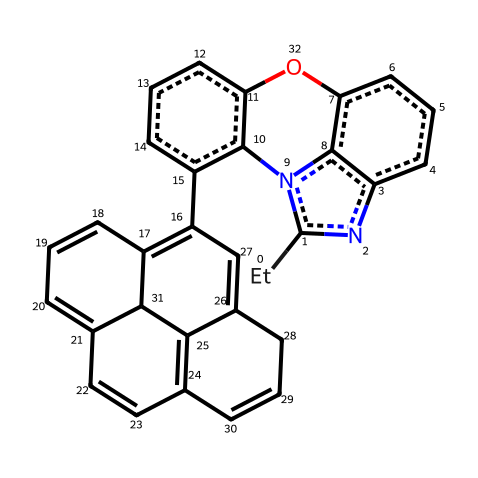 CCc1nc2cccc3c2n1-c1c(cccc1C1=C2C=CC=C4C=CC5=C(C(=C1)CC=C5)C42)O3